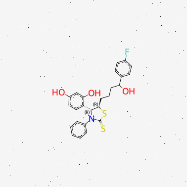 Oc1ccc([C@@H]2[C@@H](CCCC(O)c3ccc(F)cc3)SC(=S)N2c2ccccc2)c(O)c1